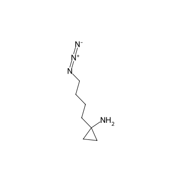 [N-]=[N+]=NCCCCC1(N)CC1